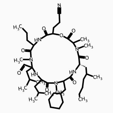 CCCCC(C)C[C@@H]1NC(=O)C(CC2CCCCC2)N(C)C(=O)C(CC(C)C)NC(C=O)(CC(C)C)N(C)C(=O)C(CCC)NC(=O)C(CCC#N)OC(=O)C(C)N(C)C1=O